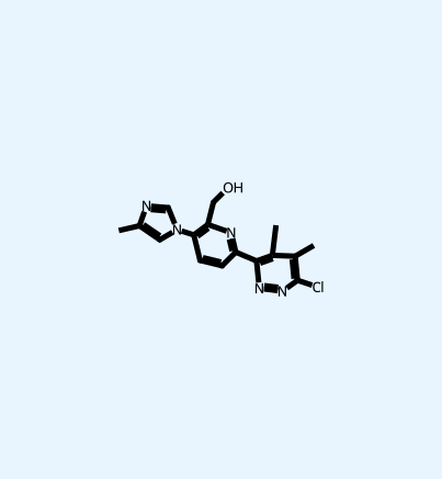 Cc1cn(-c2ccc(-c3nnc(Cl)c(C)c3C)nc2CO)cn1